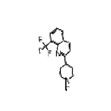 FC(F)(F)c1cccc2ccc(C3CCNCC3)nc12